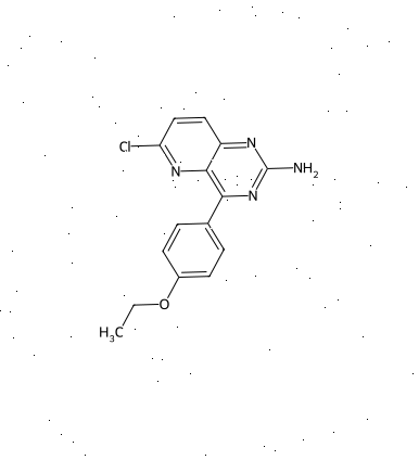 CCOc1ccc(-c2nc(N)nc3ccc(Cl)nc23)cc1